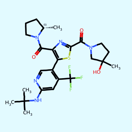 C[C@H]1CCCN1C(=O)c1nc(C(=O)N2CCC(C)(O)C2)sc1-c1cnc(NC(C)(C)C)cc1C(F)(F)F